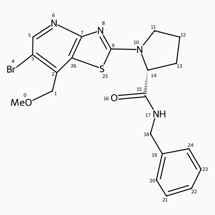 COCc1c(Br)cnc2nc(N3CCC[C@@H]3C(=O)NCc3ccccc3)sc12